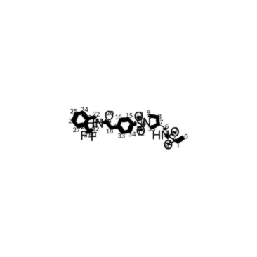 C=CS(=O)(=O)NC[C@H]1CCN(S(=O)(=O)c2ccc(CC(=O)NCc3ccccc3C(F)(F)F)cc2)C1